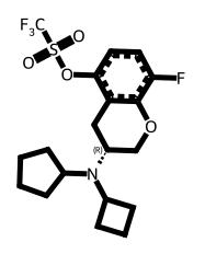 O=S(=O)(Oc1ccc(F)c2c1C[C@@H](N(C1CCCC1)C1CCC1)CO2)C(F)(F)F